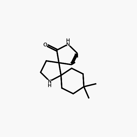 CC1(C)CCC2(CC1)NCCC21C(=O)Nc2ccccc21